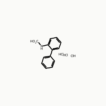 Cl.Cl.Cl.O=C(O)Nc1ccccc1-c1ccccc1